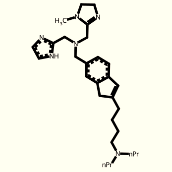 CCCN(CCC)CCCCC1=Cc2ccc(CN(CC3=NCCN3C)Cc3ncc[nH]3)cc2C1